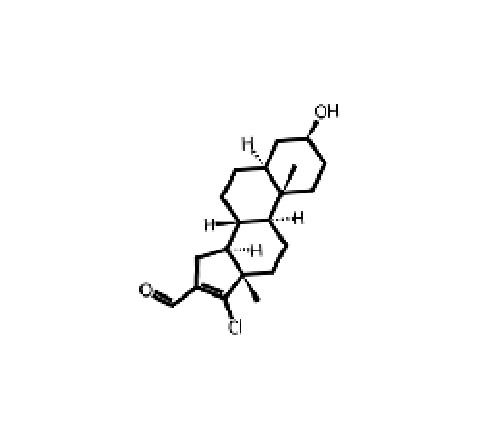 C[C@]12CC[C@H](O)C[C@@H]1CC[C@@H]1[C@@H]2CC[C@]2(C)C(Cl)=C(C=O)C[C@@H]12